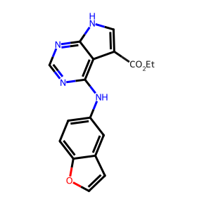 CCOC(=O)c1c[nH]c2ncnc(Nc3ccc4occc4c3)c12